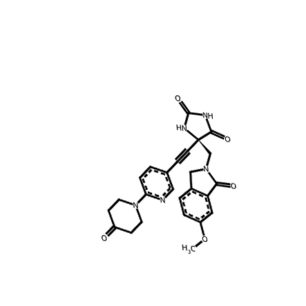 COc1ccc2c(c1)C(=O)N(C[C@@]1(C#Cc3ccc(N4CCC(=O)CC4)nc3)NC(=O)NC1=O)C2